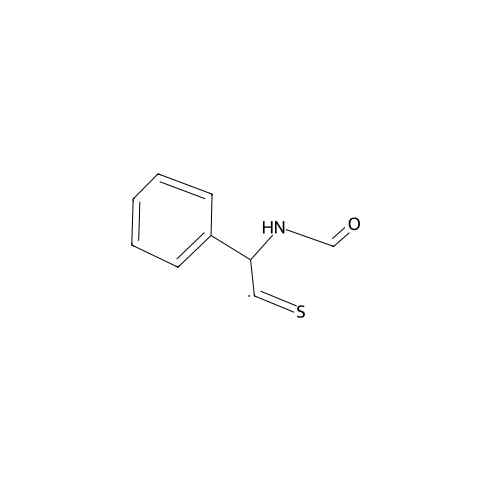 O=CNC([C]=S)c1ccccc1